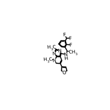 Cc1nc(N[C@H](C)c2cccc(C(F)F)c2F)c2c(n1)N(C)CC(C1=CCOC1)=C2